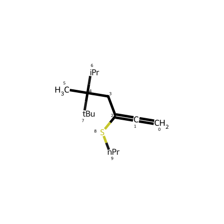 C=C=C(CC(C)(C(C)C)C(C)(C)C)SCCC